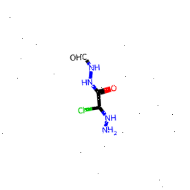 NNC(Cl)C(=O)NNC=O